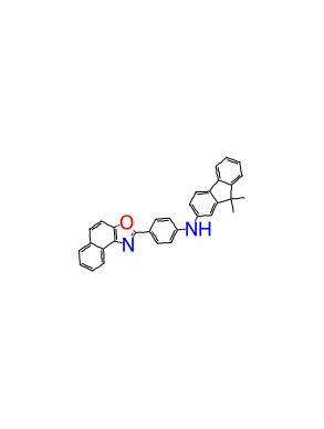 CC1(C)c2ccccc2-c2ccc(Nc3ccc(-c4nc5c(ccc6ccccc65)o4)cc3)cc21